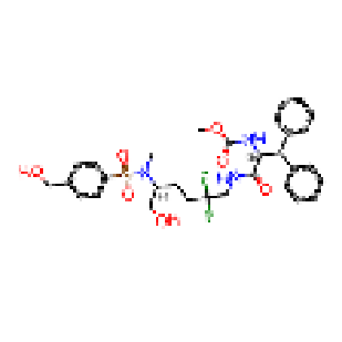 COC(=O)N[C@H](C(=O)NCC(F)(F)CC[C@@H](CO)N(C)S(=O)(=O)c1ccc(CO)cc1)C(c1ccccc1)c1ccccc1